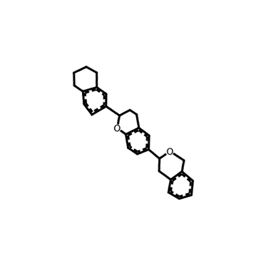 c1ccc2c(c1)COC(c1ccc3c(c1)CCC(c1ccc4c(c1)CCCC4)O3)C2